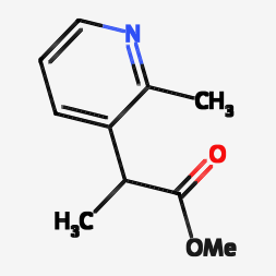 COC(=O)C(C)c1cccnc1C